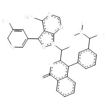 CC(c1cccc(-c2c(C(C)n3nc(C4=CNCC(O)=C4)c4c(N)ncnc43)oc(=O)c3ccccc23)c1)N(C)C